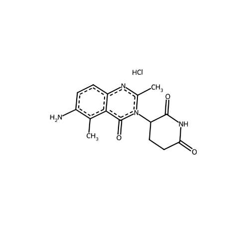 Cc1c(N)ccc2nc(C)n(C3CCC(=O)NC3=O)c(=O)c12.Cl